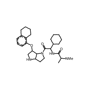 CNC(C)C(=O)NC(C(=O)N1CCC2NCC(Oc3cccc4c3CCCC4)C21)C1CCCCC1